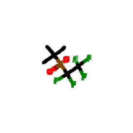 CC(C)(C)S(=O)(=O)C(F)(F)C(F)(F)F